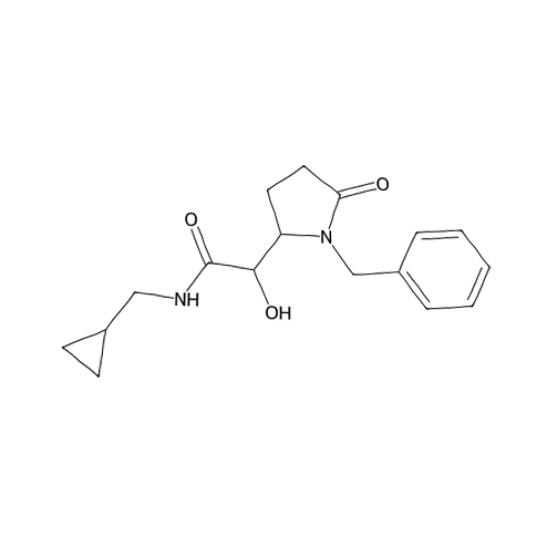 O=C(NCC1CC1)C(O)C1CCC(=O)N1Cc1ccccc1